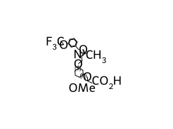 COC(CO[C@@H]1CCC[C@H](OCc2nc(-c3cccc(OC(F)(F)F)c3)oc2C)C1)C(=O)O